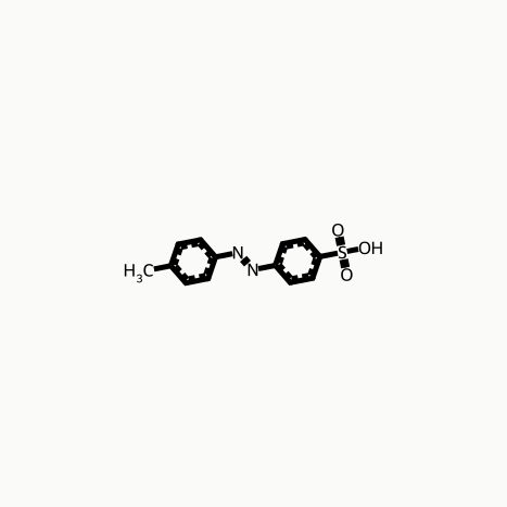 Cc1ccc(N=Nc2ccc(S(=O)(=O)O)cc2)cc1